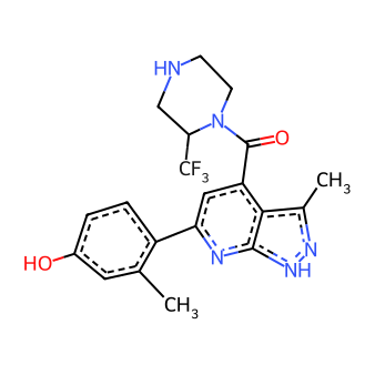 Cc1cc(O)ccc1-c1cc(C(=O)N2CCNCC2C(F)(F)F)c2c(C)n[nH]c2n1